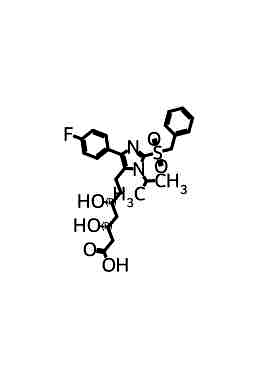 CC(C)n1c(S(=O)(=O)Cc2ccccc2)nc(-c2ccc(F)cc2)c1CC[C@@H](O)C[C@@H](O)CC(=O)O